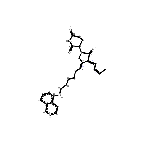 C\C=C/C=C1/C(=O)N(C2CCC(=O)NC2=O)C/C1=C\CCCCCOc1cccc2cnccc12